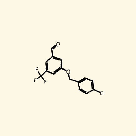 O=Cc1cc(OCc2ccc(Cl)cc2)cc(C(F)(F)F)c1